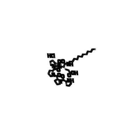 CCCCCCCCCCCCNC(=O)[C@H](CCC(=O)O)NC(=O)[C@@H]1CCCN1C(=O)[C@@H]1CCCN1C(=O)[C@@H]1CCCN1C(=O)[C@@H]1CCCN1.Cl